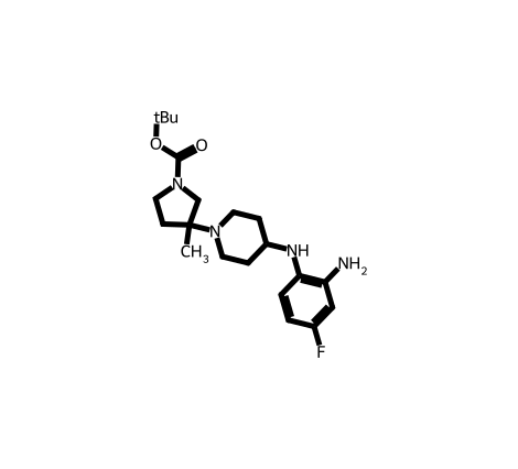 CC(C)(C)OC(=O)N1CCC(C)(N2CCC(Nc3ccc(F)cc3N)CC2)C1